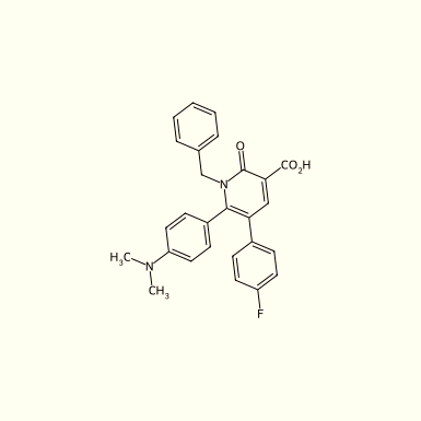 CN(C)c1ccc(-c2c(-c3ccc(F)cc3)cc(C(=O)O)c(=O)n2Cc2ccccc2)cc1